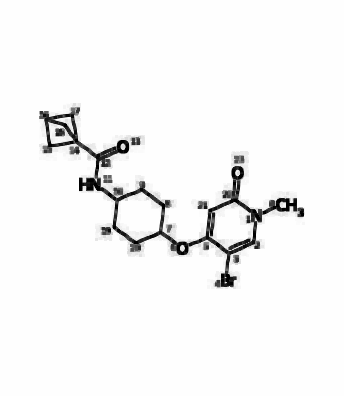 Cn1cc(Br)c(OC2CCC(NC(=O)C34CC(C3)C4)CC2)cc1=O